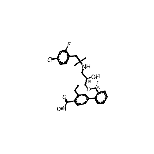 CCc1cc(-c2ccccc2[C@@H](C)OC[C@H](O)CNC(C)(C)Cc2ccc(Cl)cc2F)ccc1C(=O)N=O